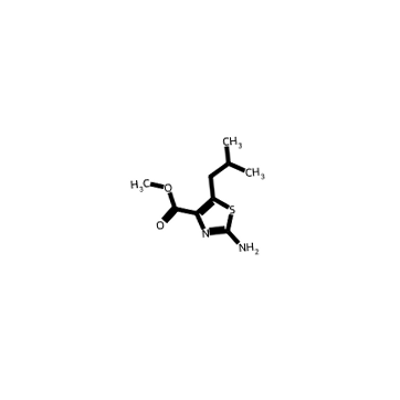 COC(=O)c1nc(N)sc1CC(C)C